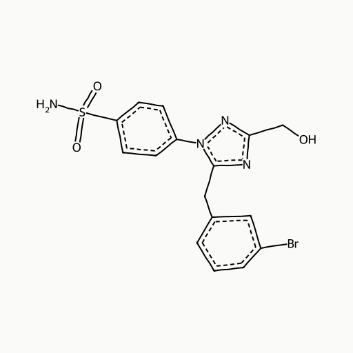 NS(=O)(=O)c1ccc(-n2nc(CO)nc2Cc2cccc(Br)c2)cc1